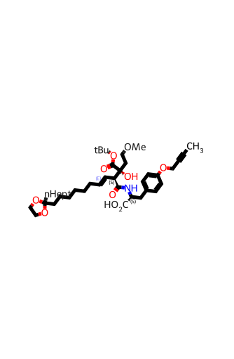 CC#CCOc1ccc(C[C@H](NC(=O)[C@@H](/C=C/CCCCCCC2(CCCCCCC)OCCO2)[C@@](O)(CCOC)C(=O)OC(C)(C)C)C(=O)O)cc1